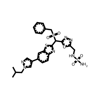 CC(C)Cn1cc(-c2ccc3nc(C(c4nnc(CNS(N)(=O)=O)o4)S(=O)(=O)Cc4ccccc4)sc3c2)cn1